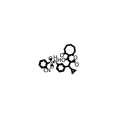 N#Cc1ccccc1S(=O)(=O)Nc1cccc(C(c2c(O)c3c(oc2=O)CCCCCC3=O)C2CC2)c1